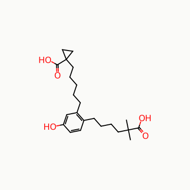 CC(C)(CCCCc1ccc(O)cc1CCCCCC1(C(=O)O)CC1)C(=O)O